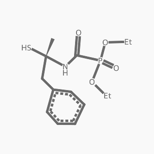 CCOP(=O)(OCC)C(=O)N[C@@](C)(S)Cc1ccccc1